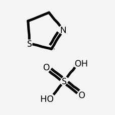 O=S(=O)(O)O.[C]1=NCCS1